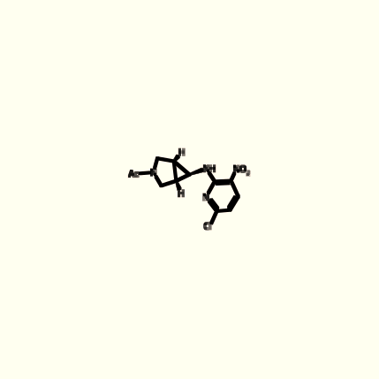 CC(=O)N1C[C@@H]2[C@H](C1)[C@H]2Nc1nc(Cl)ccc1[N+](=O)[O-]